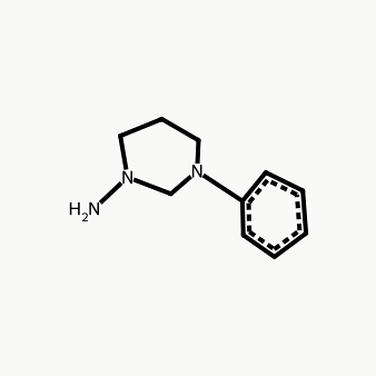 NN1CCCN(c2ccccc2)C1